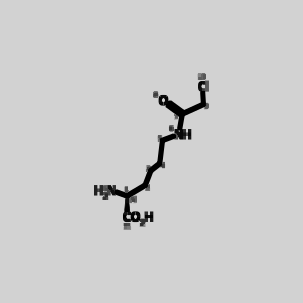 N[C@@H](CCCCNC(=O)CCl)C(=O)O